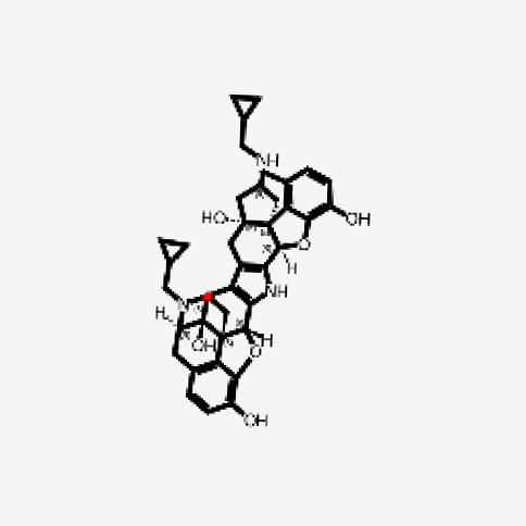 Oc1ccc2c3c1O[C@H]1c4[nH]c5c(c4C[C@@]4(O)C[C@@](NCC6CC6)(C2)C[C@]314)C[C@@]1(O)[C@H]2Cc3ccc(O)c4c3[C@@]1(CCN2CC1CC1)[C@H]5O4